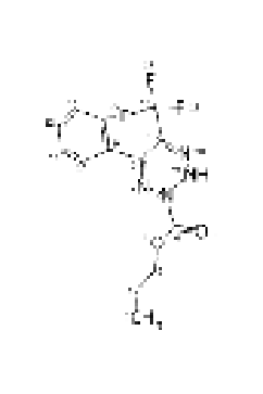 CCCOC(=O)N1N=C(c2ccccc2)C(C(F)(F)F)=NN1